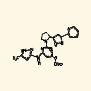 Cc1cc(Nc2cc(OC=O)nc(N3CCCC3c3cc(-c4ccccn4)no3)n2)n[nH]1